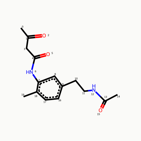 CC(=O)CC(=O)Nc1cc(CCNC(C)=O)ccc1C